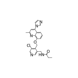 CCC(=O)NCc1cncc(Cl)c1COc1cccc2c(-n3ccnc3)cc(C)nc12